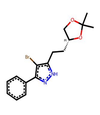 CC1(C)OC[C@@H](CCc2[nH]nc(-c3ccccc3)c2Br)O1